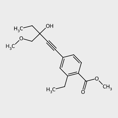 CCc1cc(C#CC(O)(CC)COC)ccc1C(=O)OC